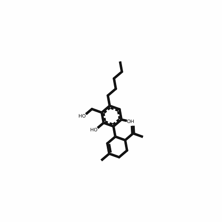 C=C(C)C1CCC(C)=CC1c1c(O)cc(CCCCC)c(CO)c1O